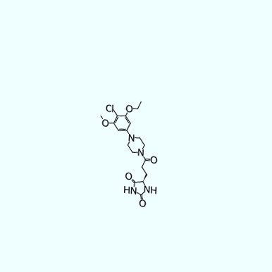 CCOc1cc(N2CCN(C(=O)CC[C@H]3NC(=O)NC3=O)CC2)cc(OC)c1Cl